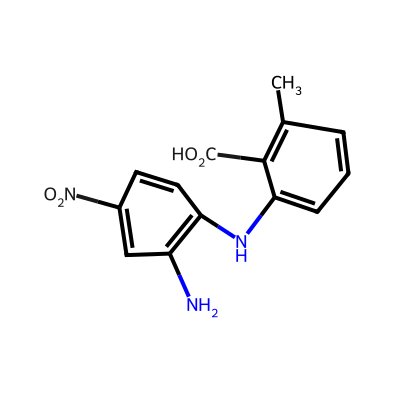 Cc1cccc(Nc2ccc([N+](=O)[O-])cc2N)c1C(=O)O